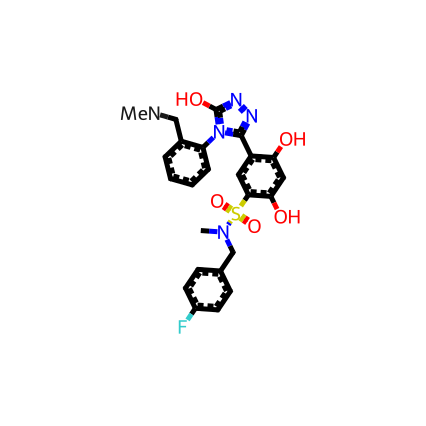 CNCc1ccccc1-n1c(O)nnc1-c1cc(S(=O)(=O)N(C)Cc2ccc(F)cc2)c(O)cc1O